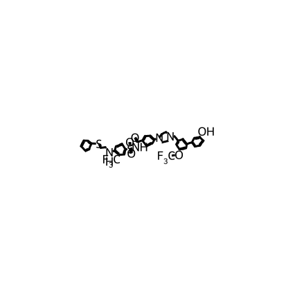 O=C(NS(=O)(=O)c1ccc(NCCSc2ccccc2)c(C(F)(F)F)c1)c1ccc(N2CCN(Cc3cc(OC(F)(F)F)cc(-c4cccc(O)c4)c3)CC2)cc1